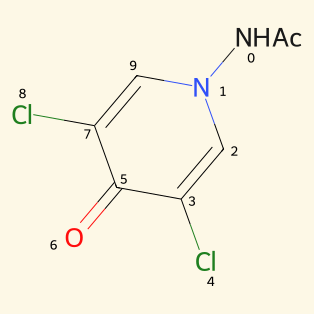 CC(=O)Nn1cc(Cl)c(=O)c(Cl)c1